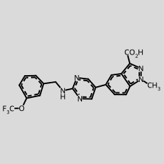 Cn1nc(C(=O)O)c2cc(-c3cnc(NCc4cccc(OC(F)(F)F)c4)nc3)ccc21